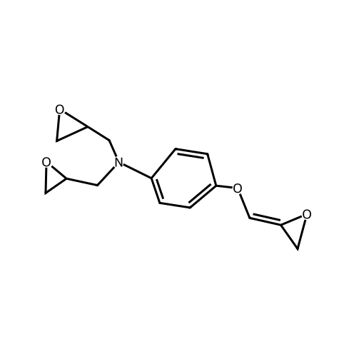 C(/Oc1ccc(N(CC2CO2)CC2CO2)cc1)=C1\CO1